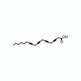 CCCCCCC#CCC#CCC#CCC#CCC(=O)O